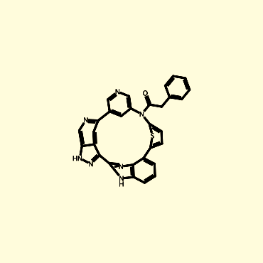 O=C(Cc1ccccc1)n1c2cncc(c2)c2cc3c(cn2)[nH]nc3c2nc3c(cccc3c3ccc1s3)[nH]2